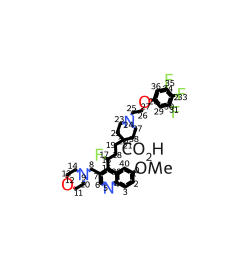 COc1ccc2ncc(CN3CCOCC3)c(C(F)CCC3(C(=O)O)CCN(CCOc4cc(F)c(F)c(F)c4)CC3)c2c1